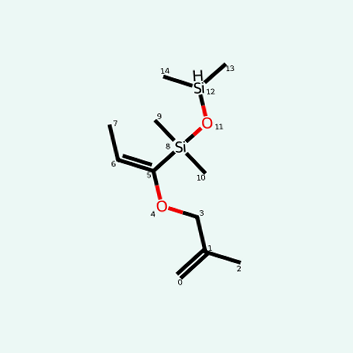 C=C(C)CO/C(=C/C)[Si](C)(C)O[SiH](C)C